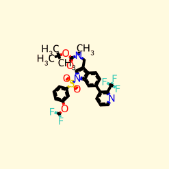 CN(Cc1cn(S(=O)(=O)c2cccc(OC(F)F)c2)c2cc(-c3cccnc3C(F)(F)F)ccc12)C(=O)OC(C)(C)C